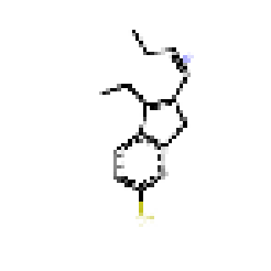 CC/C=C\C1=C(CC)c2ccc(S)cc2C1